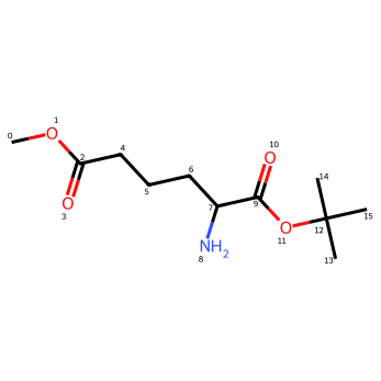 COC(=O)CCCC(N)C(=O)OC(C)(C)C